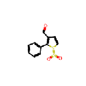 O=CC1=C(c2ccccc2)S(=S(=O)=O)C=C1